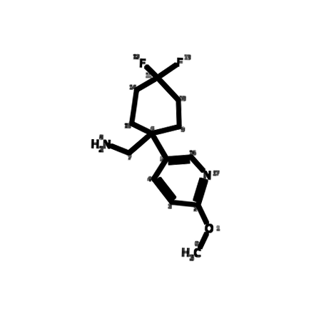 COc1ccc(C2(CN)CCC(F)(F)CC2)cn1